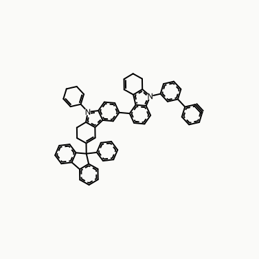 c1cccc(-c2cccc(-n3c4c(c5c(-c6ccc7c(c6)c6c(n7C7=CCCC=C7)CCC(C7(c8ccccc8)c8ccccc8-c8ccccc87)=C6)cccc53)C=CCC4)c2)c#1